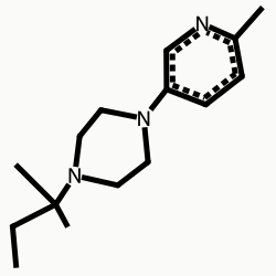 CCC(C)(C)N1CCN(c2ccc(C)nc2)CC1